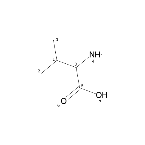 CC(C)C([NH])C(=O)O